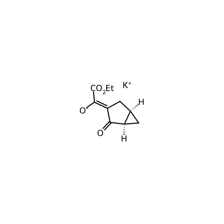 CCOC(=O)C([O-])=C1C[C@H]2C[C@H]2C1=O.[K+]